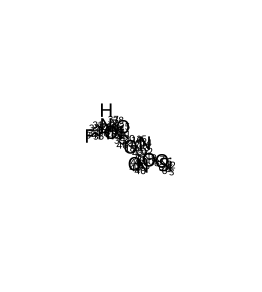 CC(C)(C)[Si](C)(C)OCCOc1cc2nccc(Oc3ccc(NC(=O)C4(C(=O)Nc5ccc(F)cc5)CC4)cc3)c2cc1-c1ncco1